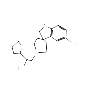 Cc1ccc2c(c1)C1(CCN(CC(C)C3CCCO3)CC1)CN2